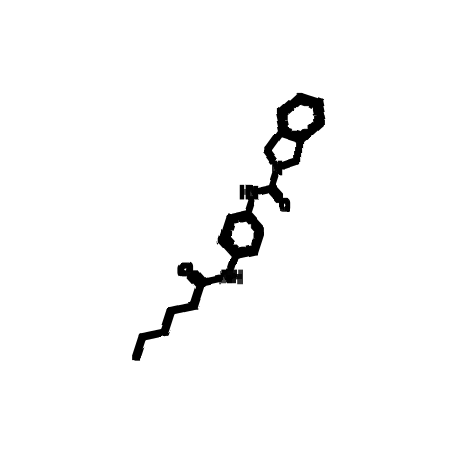 CCCCCC(=O)Nc1ccc(NC(=O)N2Cc3ccccc3C2)cc1